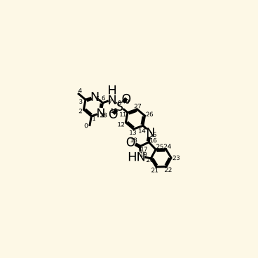 Cc1cc(C)nc(NS(=O)(=O)c2ccc(/N=C3\C(=O)Nc4ccccc43)cc2)n1